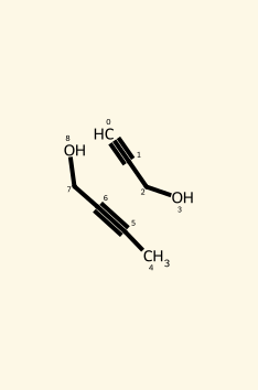 C#CCO.CC#CCO